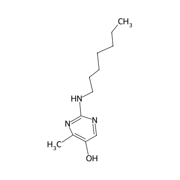 CCCCCCCNc1ncc(O)c(C)n1